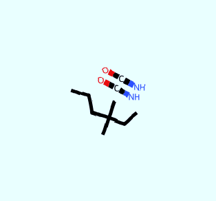 CCCC(C)(C)CC.N=C=O.N=C=O